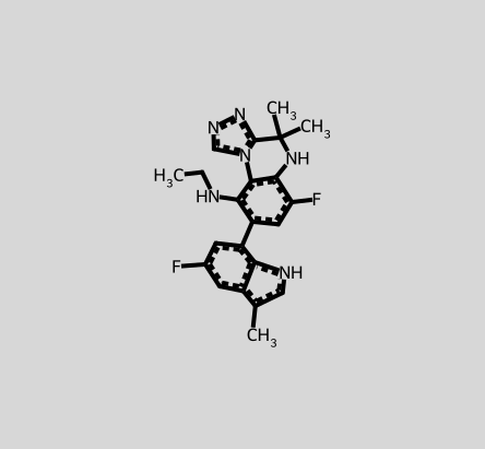 CCNc1c(-c2cc(F)cc3c(C)c[nH]c23)cc(F)c2c1-n1cnnc1C(C)(C)N2